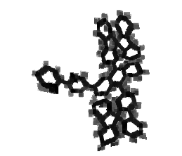 c1ccc(-c2ccc(-c3ccc4c(-c5ccc6c(c5)C5(c7ccccc7-c7ccccc75)c5ccccc5-6)c5ccccc5c(-c5ccc6c(c5)C5(c7ccccc7-c7ccccc75)c5ccccc5-6)c4c3)cn2)nc1